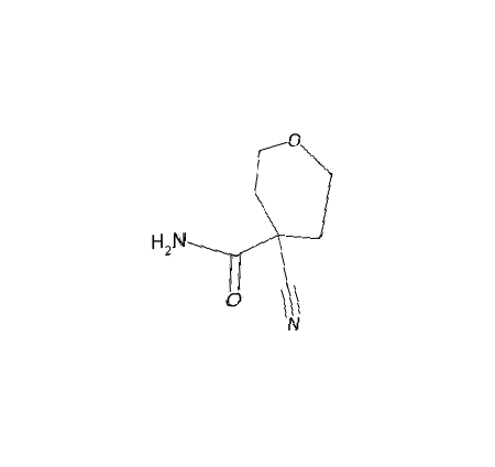 N#CC1(C(N)=O)CCOCC1